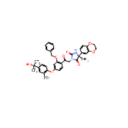 CCCc1cc(C(O)(C(F)(F)F)C(F)(F)F)ccc1Oc1ccc(C(=O)CN2C(=O)NC(C)(c3ccc4c(c3)OCCO4)C2=O)c(OCc2ccccc2)c1